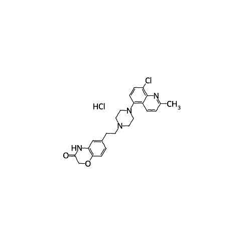 Cc1ccc2c(N3CCN(CCc4ccc5c(c4)NC(=O)CO5)CC3)ccc(Cl)c2n1.Cl